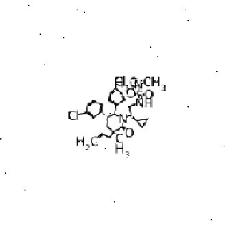 C=CC[C@@]1(C)C[C@H](c2cccc(Cl)c2)[C@@H](c2ccc(Cl)cc2)N(C(CNS(=O)(=O)N(C)C)C2CC2)C1=O